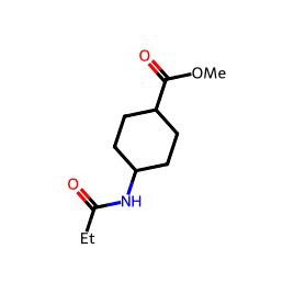 CCC(=O)NC1CCC(C(=O)OC)CC1